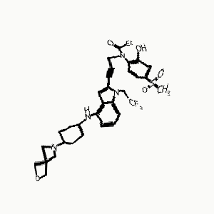 CCC(=O)N(CC#Cc1cc2c(NC3CCC(N4CC5(COC5)C4)CC3)cccc2n1CC(F)(F)F)c1ccc(S(C)(=O)=O)cc1O